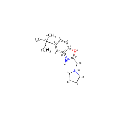 CC(C)(C)c1ccc2oc(CN3CCCC3)nc2c1